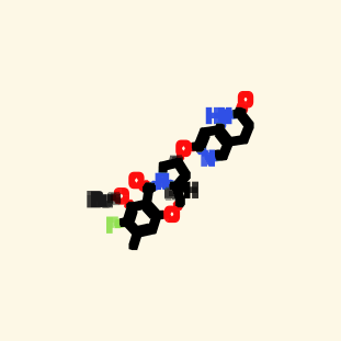 CC[C@H](C)Oc1c(F)c(C)cc2c1C(=O)N1C[C@@H](Oc3cc4c(cn3)CCC(=O)N4)C[C@@H]1CO2